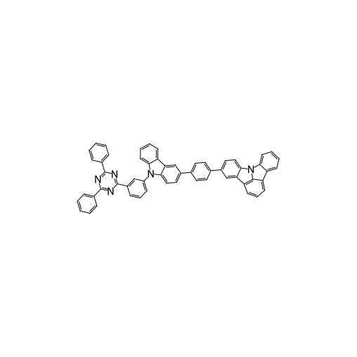 c1ccc(-c2nc(-c3ccccc3)nc(-c3cccc(-n4c5ccccc5c5cc(-c6ccc(-c7ccc8c(c7)c7cccc9c%10ccccc%10n8c97)cc6)ccc54)c3)n2)cc1